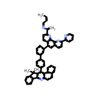 C=C(/N=C\C=C/C)c1ccc2c(-c3cccc(-c4ccc(-c5c6c(nc7ccc8ccccc8c57)-c5ccccc5C6(C)C)cc4)c3)cc3ccc(-c4ccccn4)nc3c2n1